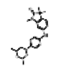 CC1CN(c2ccc(Nc3ccc4c(c3)N(C)C(=O)C4(C)C)cc2)CC(C)O1